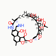 CO[C@H]1/C=C/O[C@@]2(C)Oc3c(C)cc4cc(c(C=N)c(O)c4c3C2=O)NC(=O)/C(C)=C\CC[C@H](C)[C@H](O)[C@@H](C)[C@@H](O)[C@@H](C)[C@H](OC(C)=O)[C@@H]1C